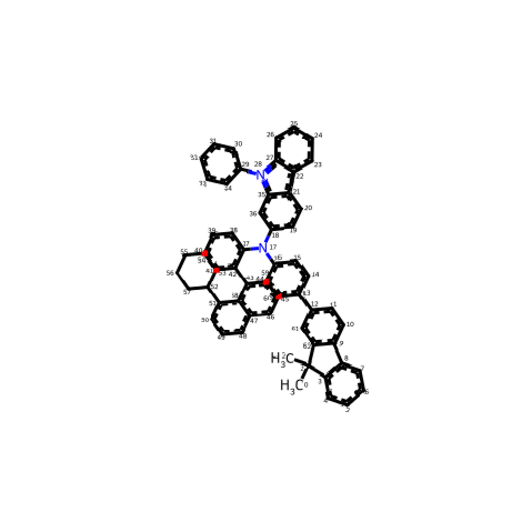 CC1(C)c2ccccc2-c2ccc(-c3ccc(N(c4ccc5c6ccccc6n(-c6ccccc6)c5c4)c4ccccc4-c4cccc5cccc(C6CCCCC6)c45)cc3)cc21